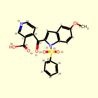 COc1ccc2c(c1)cc(C(=O)c1ccncc1C(=O)O)n2S(=O)(=O)c1ccccc1